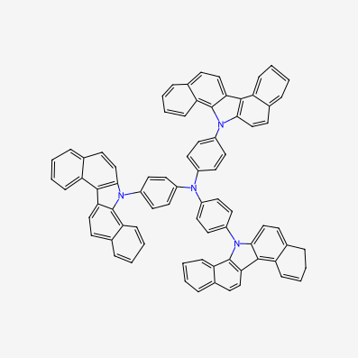 C1=Cc2c(ccc3c2c2ccc4ccccc4c2n3-c2ccc(N(c3ccc(-n4c5ccc6ccccc6c5c5ccc6ccccc6c54)cc3)c3ccc(-n4c5ccc6ccccc6c5c5ccc6ccccc6c54)cc3)cc2)CC1